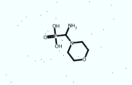 NC(N1CCOCC1)P(=O)(O)O